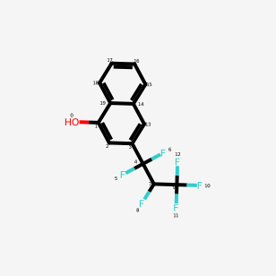 Oc1cc(C(F)(F)C(F)C(F)(F)F)cc2ccccc12